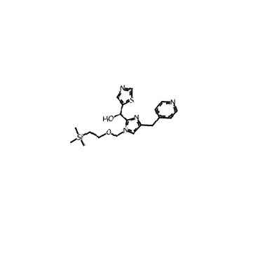 C[Si](C)(C)CCOCn1cc(Cc2ccncc2)nc1[C@@H](O)c1cncs1